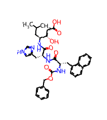 CC(C)C[C@H](NC(=O)[C@@H](Cc1c[nH]cn1)NC(=O)[C@H](Cc1cccc2ccccc12)NC(=O)OCc1ccccc1)[C@@H](O)CC(=O)O